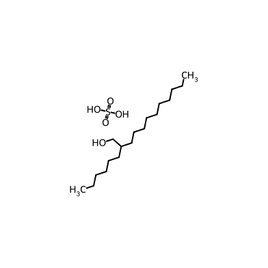 CCCCCCCCCCC(CO)CCCCCC.O=S(=O)(O)O